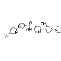 Cc1ccc(-n2ccc(C(=O)Nc3cnc(C4=CCC(N5CCOCC5)CC4)c(C)c3)c2)nc1